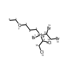 CCOCC[CH2][Hg]([Br])([CH](Cl)CCl)[CH](Br)CBr